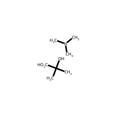 CC(C)(O)C(=O)O.CN(C)C